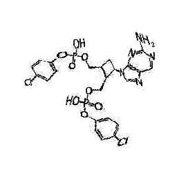 Nc1ncc2ncn([C@@H]3C[C@H](COP(=O)(O)Oc4ccc(Cl)cc4)[C@@H]3COP(=O)(O)Oc3ccc(Cl)cc3)c2n1